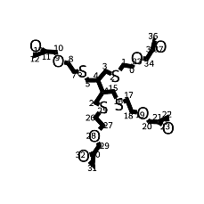 C(CSCC(CSCCOCC1CO1)C(CSCCOCC1CO1)CSCCOCC1CO1)OCC1CO1